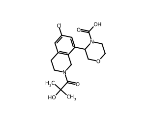 CC(C)(O)C(=O)N1CCc2cc(Cl)cc(C3COCCN3C(=O)O)c2C1